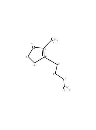 CCCCC1=C(C)OCC1